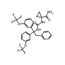 NC(=O)C1(NC(=O)NC(Cc2ccccc2)(c2cccc(OC(F)(F)F)c2)c2cccc(OC(F)(F)F)c2)CC1